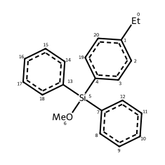 CCc1ccc([Si](OC)(c2ccccc2)c2ccccc2)cc1